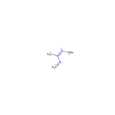 C=N/C(C)=N\SC